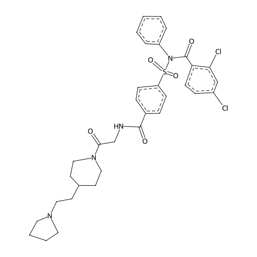 O=C(NCC(=O)N1CCC(CCN2CCCC2)CC1)c1ccc(S(=O)(=O)N(C(=O)c2ccc(Cl)cc2Cl)c2ccccc2)cc1